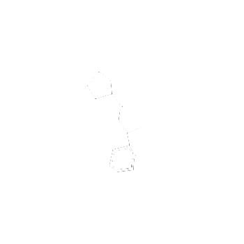 CC(CNC1CCCC1)c1ccccn1